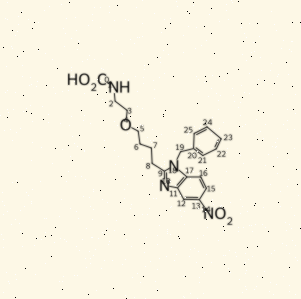 O=C(O)NCCOCCCCc1nc2cc([N+](=O)[O-])ccc2n1Cc1ccccc1